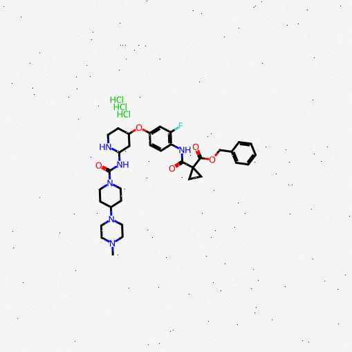 CN1CCN(C2CCN(C(=O)NC3CC(Oc4ccc(NC(=O)C5(C(=O)OCc6ccccc6)CC5)c(F)c4)CCN3)CC2)CC1.Cl.Cl.Cl